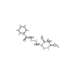 C=C1CCC(NCCNC(=O)c2ccccc2)C(=O)N1